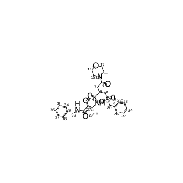 CC[C@@H](NC(=O)C(CC(=O)N1CCOCC1)CS(=O)(=O)Cc1ccccc1)C(=O)C(=O)NCc1ccccc1